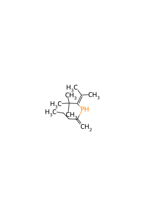 C=C(CCC)PC(=C(C)C)C(C)(C)C